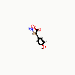 COc1ccc(-c2sn[o+]c2[O-])cc1